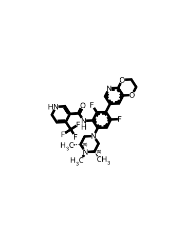 C[C@@H]1CN(c2cc(F)c(-c3cnc4c(c3)OCCO4)c(F)c2NC(=O)C2=CNCC=C2C(F)(F)F)C[C@H](C)N1C